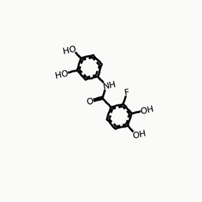 O=C(Nc1ccc(O)c(O)c1)c1ccc(O)c(O)c1F